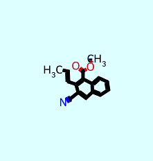 CC=Cc1c(C#N)cc2ccccc2c1C(=O)OC